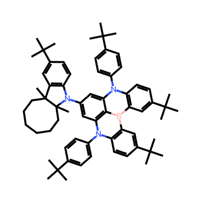 CC(C)(C)c1ccc(N2c3ccc(C(C)(C)C)cc3B3c4cc(C(C)(C)C)ccc4N(c4ccc(C(C)(C)C)cc4)c4cc(N5c6ccc(C(C)(C)C)cc6C6(C)CCCCCCC56C)cc2c43)cc1